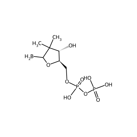 BC1O[C@H](COP(=O)(O)OP(=O)(O)O)[C@@H](O)C1(C)C